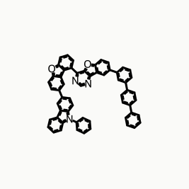 c1ccc(-c2ccc(-c3cccc(-c4ccc5oc6c(-c7cccc8oc9ccc(-c%10ccc%11c(c%10)c%10ccccc%10n%11-c%10ccccc%10)cc9c78)ncnc6c5c4)c3)cc2)cc1